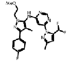 COCCn1nc(-c2ccc(F)cc2)c(C)c1Nc1cc(-n2nc(C)cc2C(F)F)ncn1